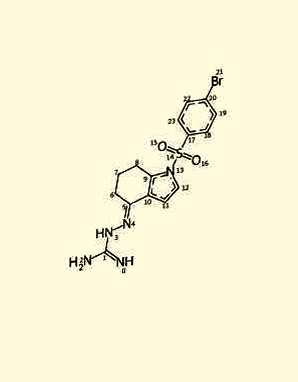 N=C(N)NN=C1CCCc2c1ccn2S(=O)(=O)c1ccc(Br)cc1